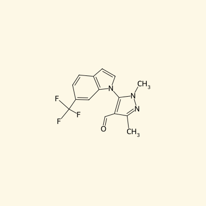 Cc1nn(C)c(-n2ccc3ccc(C(F)(F)F)cc32)c1C=O